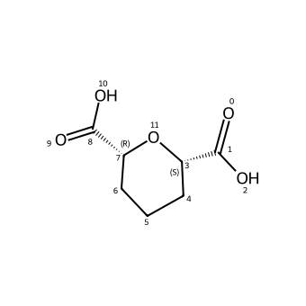 O=C(O)[C@@H]1CCC[C@H](C(=O)O)O1